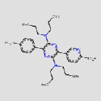 COCCN(CCOC)c1nc(-c2ccc(C(=O)O)nc2)c(N(CCOC)CCOC)nc1-c1ccc(C(=O)O)cc1